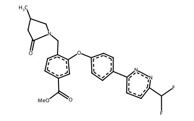 COC(=O)c1ccc(CN2CC(C)CC2=O)c(Oc2ccc(-c3ccc(C(F)F)nn3)cc2)c1